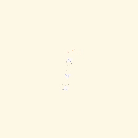 C[n+]1cccc2cc(-[n+]3ccc(-c4cc[n+](CCP(=O)(O)O)cc4)cc3)ccc21